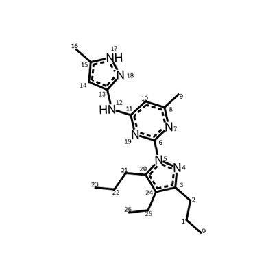 CCCc1nn(-c2nc(C)cc(Nc3cc(C)[nH]n3)n2)c(CCC)c1CC